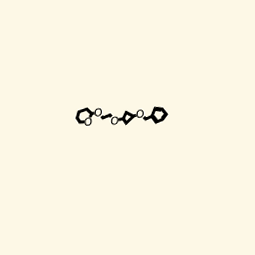 c1ccc(COC2CC(OCCOC3CCCCO3)C2)cc1